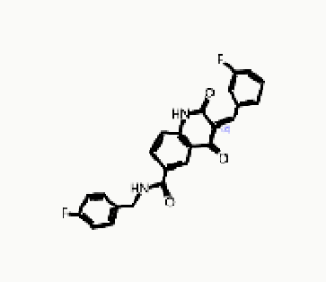 O=C1Nc2ccc(C(=O)NCc3ccc(F)cc3)cc2C(=O)/C1=C/c1cccc(F)c1